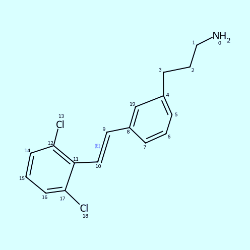 NCCCc1cccc(/C=C/c2c(Cl)cccc2Cl)c1